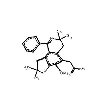 CNC(=O)Cc1c2c(c3c(c1OC)OC(C)(C)C3)C(c1ccccc1)=NC(C)(C)C2